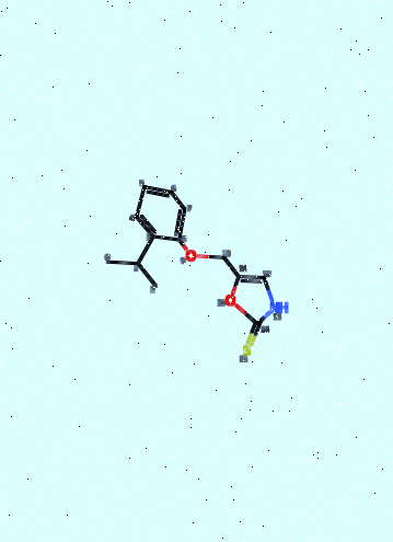 CC(C)c1ccccc1OCc1c[nH]c(=S)o1